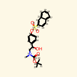 CN(CC(O)c1ccc(OS(=O)(=O)c2ccc3ccccc3c2)cc1)C(=O)OC(C)(C)C